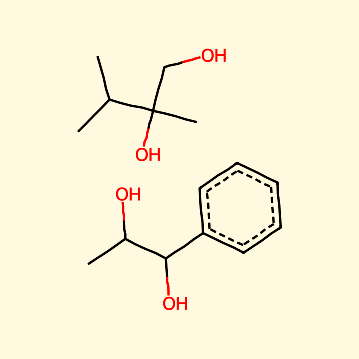 CC(C)C(C)(O)CO.CC(O)C(O)c1ccccc1